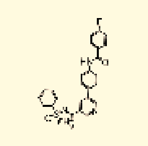 C[S@@](=O)(=NC(=O)c1cncc(-c2ccc(NC(=O)c3ccc(F)cc3)cc2)c1)C1C=CC=CC1